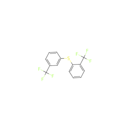 FC(F)(F)c1cccc(Sc2ccccc2C(F)(F)F)c1